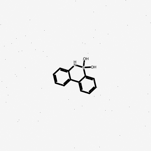 OS1(O)Nc2ccccc2-c2cc[c]cc21